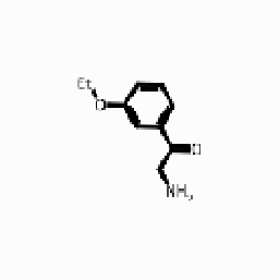 CCOc1cccc(C(=O)CN)c1